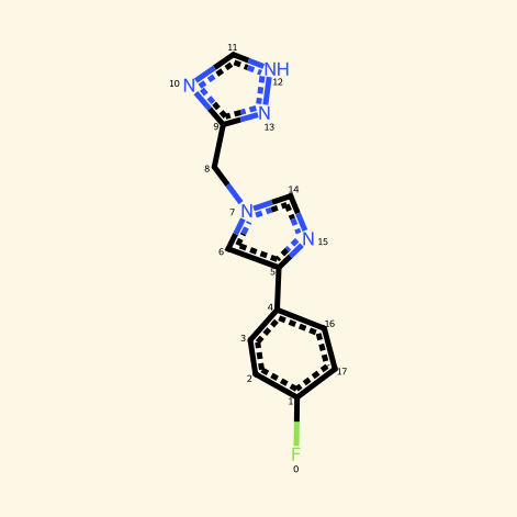 Fc1ccc(-c2cn(Cc3nc[nH]n3)cn2)cc1